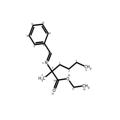 CCCCC(C)(/N=C/c1ccccc1)C(=O)OCC